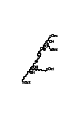 CCCCCCCC/C=C\CCCCCCC(O)CN(CCCCSSCCN1CCN(CCOC(=O)CCCN(CC(O)CCCCCCCCCCCC)CC(O)CCCCCCCCCCCC)CC1)CC(O)CCCCCC/C=C\CCCCCCCC